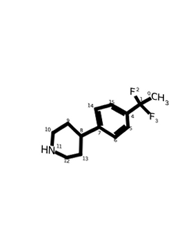 CC(F)(F)c1ccc(C2CCNCC2)cc1